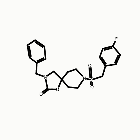 O=C1OC2(CCN(S(=O)(=O)Cc3ccc(F)cc3)CC2)CN1Cc1ccccc1